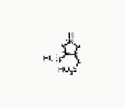 Cl.O=S(=O)(O)CC1CNCC1F